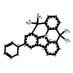 CC1(C)c2cccc3c2-n2c4c1cccc4c1cc(C4C=CC=CC4)cc(c12)C3(C)C